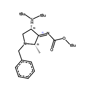 C[C@H]1/C(=N\C(=O)OC(C)(C)C)[C@@H]([SiH](C(C)(C)C)C(C)(C)C)CN1Cc1ccccc1